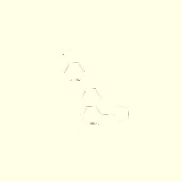 Cc1nc(N2CCCC2)c2ccc(-c3ccc(C(F)(F)F)cc3)cc2n1